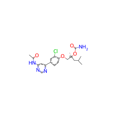 CC(=O)Nc1cc(-c2ccc(OC[C@](C)(CC(C)C)OC(N)=O)c(Cl)c2)ncn1